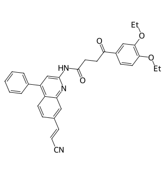 CCOc1ccc(C(=O)CCC(=O)Nc2cc(-c3ccccc3)c3ccc(C=CC#N)cc3n2)cc1OCC